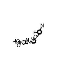 CC(C)(C)OC(=O)N1Cc2cn(-c3cccc(OCc4ccc(C#N)cc4F)n3)nc2C1